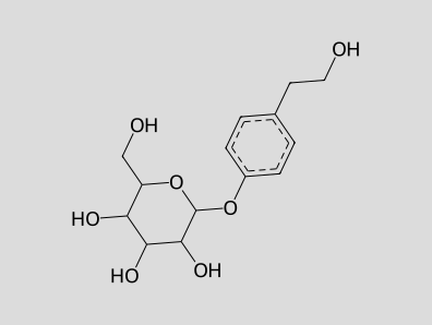 OCCc1ccc(OC2OC(CO)C(O)C(O)C2O)cc1